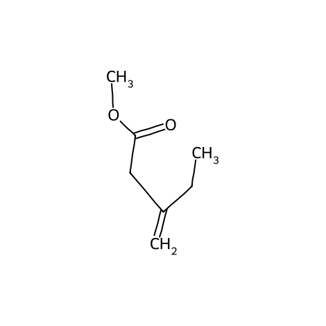 C=C(CC)CC(=O)OC